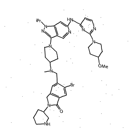 COC1CCN(c2nccc(Nc3cc4c(cn3)c(N3CCC(N(C)Cc5cc6c(cc5Br)C(=O)N(C5CCCNC5)C6)CC3)nn4C(C)C)n2)CC1